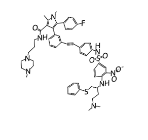 Cc1c(C(=O)NCCCN2CCN(C)CC2)c(-c2cccc(C#Cc3ccc(NS(=O)(=O)c4ccc(NC(CCN(C)C)CSc5ccccc5)c([N+](=O)[O-])c4)cc3)c2)c(-c2ccc(F)cc2)n1C